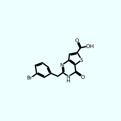 O=C(O)c1cc2nc(Cc3cccc(Br)c3)[nH]c(=O)c2s1